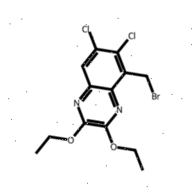 CCOc1nc2cc(Cl)c(Cl)c(CBr)c2nc1OCC